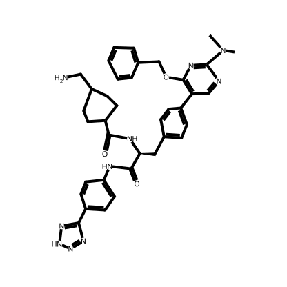 CN(C)c1ncc(-c2ccc(C[C@H](NC(=O)C3CCC(CN)CC3)C(=O)Nc3ccc(-c4nn[nH]n4)cc3)cc2)c(OCc2ccccc2)n1